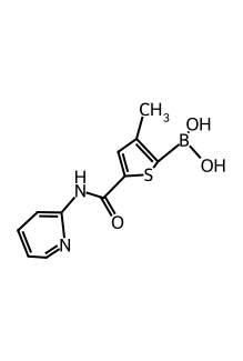 Cc1cc(C(=O)Nc2ccccn2)sc1B(O)O